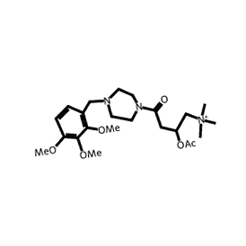 COc1ccc(CN2CCN(C(=O)CC(C[N+](C)(C)C)OC(C)=O)CC2)c(OC)c1OC